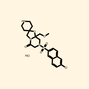 COCC12CN(S(=O)(=O)c3ccc4cc(Cl)ccc4c3)CC(=O)N1CC1(CCNCC1)O2.Cl